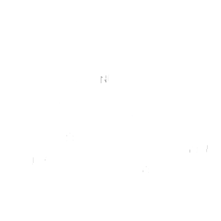 COc1ccccc1N/C=C/C(=O)O